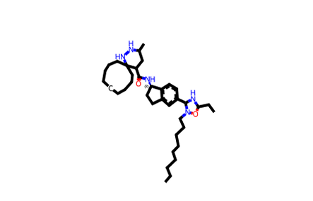 CCCCCCCCCN1OC(CC)NC1c1ccc2c(c1)CC[C@H]2NC(=O)C1CC(C)NNC12CCCCCCCCC2